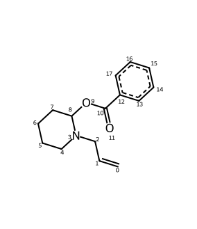 C=CCN1CCCCC1OC(=O)c1ccccc1